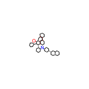 c1ccc(-c2ccc(N(c3ccc(-c4ccc5ccccc5c4)cc3)c3ccccc3-c3cc4ccccc4c4oc5ccccc5c34)cc2)cc1